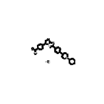 Cl.O=C(O)c1ccc(-c2cnc3sc(-c4ccc(C5=CCN(C6CCCCC6)CC5)cc4)nn23)cc1